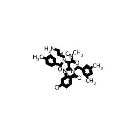 Cc1ccc(C(=O)N(CCCN)C(C(=O)N(C)C)c2nc3cc(Cl)ccc3c(=O)n2Cc2cc(C)cc(C)c2)cc1